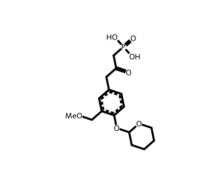 COCc1cc(CC(=O)CP(=O)(O)O)ccc1OC1CCCCO1